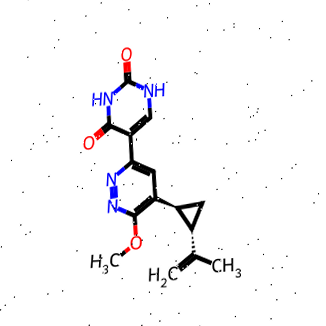 C=C(C)[C@H]1C[C@@H]1c1cc(-c2c[nH]c(=O)[nH]c2=O)nnc1OC